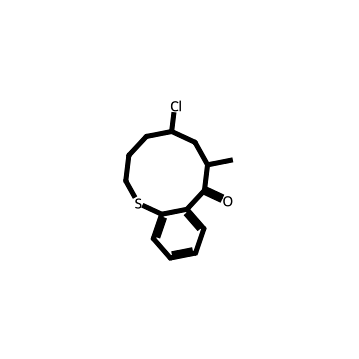 CC1CC(Cl)CCCSc2ccccc2C1=O